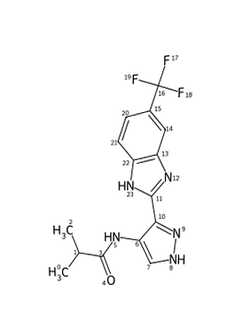 CC(C)C(=O)Nc1c[nH]nc1-c1nc2cc(C(F)(F)F)ccc2[nH]1